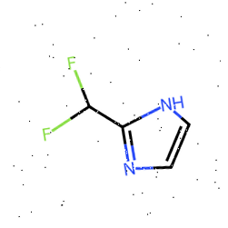 FC(F)c1ncc[nH]1